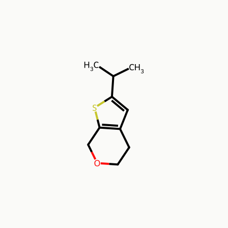 CC(C)c1cc2c(s1)COCC2